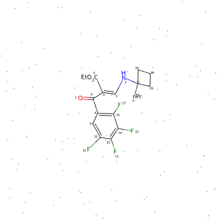 CCCC1(NC=C(C(=O)OCC)C(=O)c2cc(F)c(F)c(F)c2F)CCC1